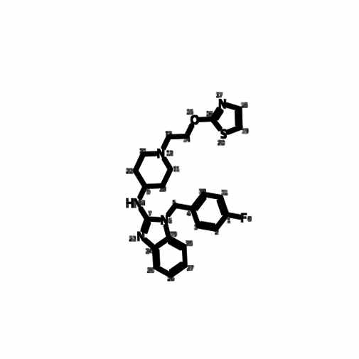 Fc1ccc(Cn2c(NC3CCN(CCOc4nccs4)CC3)nc3ccccc32)cc1